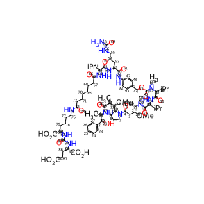 CC[C@H](C)[C@@H](C(CC(=O)N1CCC[C@H]1[C@H](OC)[C@@H](C)C(=O)N[C@H](C)[C@@H](O)c1ccccc1)OC)N(C)C(=O)[C@@H](NC(=O)[C@H](C(C)C)N(C)C(=O)OCc1ccc(NC(=O)[C@H](CCCNC(N)=O)NC(=O)[C@@H](NC(=O)CCCCCCC(=O)NCCCC[C@H](NC(=O)N[C@@H](CCC(=O)O)C(=O)O)C(=O)O)C(C)C)cc1)C(C)C